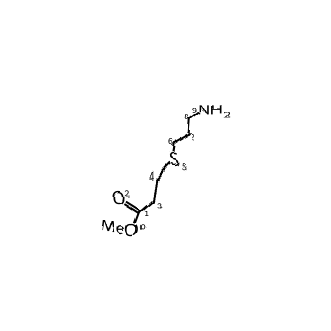 COC(=O)CCSCCCN